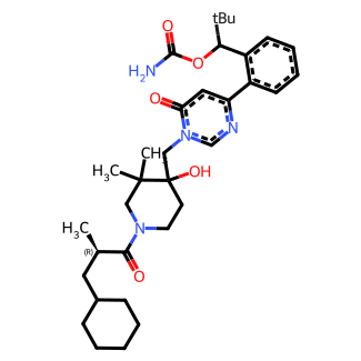 C[C@H](CC1CCCCC1)C(=O)N1CCC(O)(Cn2cnc(-c3ccccc3C(OC(N)=O)C(C)(C)C)cc2=O)C(C)(C)C1